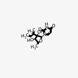 C=CC(=C)[C@@]1(O)[C@H](O)C(=C)O[C@H]1n1ccc(=O)[nH]c1=O